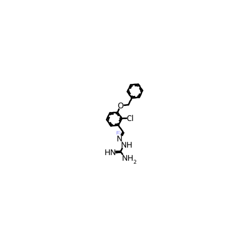 N=C(N)N/N=C/c1cccc(OCc2ccccc2)c1Cl